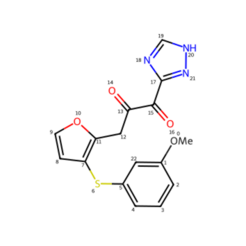 COc1cccc(Sc2ccoc2CC(=O)C(=O)c2nc[nH]n2)c1